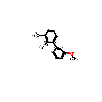 COc1cc[c]c(-c2cccc(C)c2C)c1